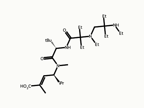 CCNC(CC)(CC)CN(CC)C(CC)(CC)C(=O)N[C@H](C(=O)N(C)[C@H](/C=C(\C)C(=O)O)C(C)C)C(C)(C)C